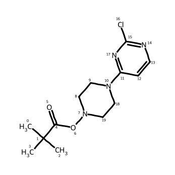 CC(C)(C)C(=O)ON1CCN(c2ccnc(Cl)n2)CC1